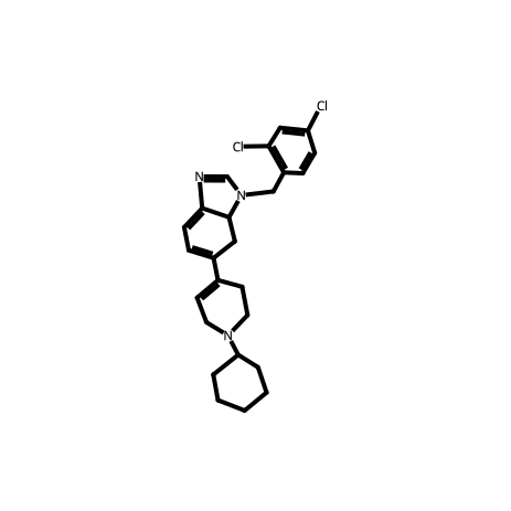 Clc1ccc(CN2C=NC3=CC=C(C4=CCN(C5CCCCC5)CC4)CC32)c(Cl)c1